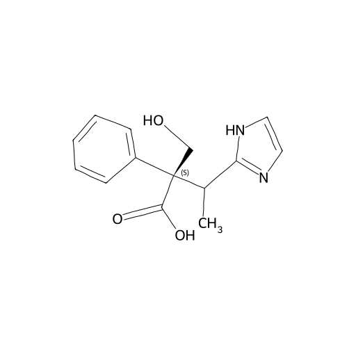 CC(c1ncc[nH]1)[C@](CO)(C(=O)O)c1ccccc1